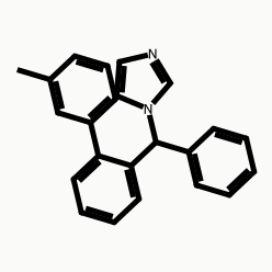 Cc1cccc(-c2ccccc2C(c2ccccc2)n2ccnc2)c1